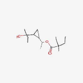 CCC(C)(C)C(=O)OC(C)C1CC1C(C)(C)O